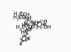 C[C@H](NC(=O)C(CC(=O)NCC(C)(C)C)NC(=O)c1ccc(C(=O)O)cc1)C(=O)NCc1ccc(F)cc1F